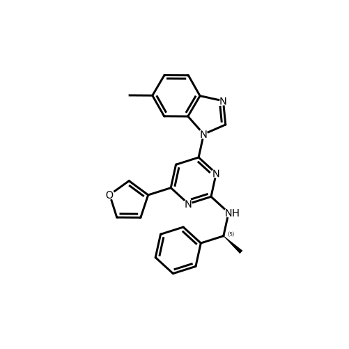 Cc1ccc2ncn(-c3cc(-c4ccoc4)nc(N[C@@H](C)c4ccccc4)n3)c2c1